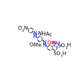 COc1cc(N=Nc2ccc([N+](=O)[O-])cc2)c(NC(C)=O)cc1N=Nc1ccc2c(S(=O)(=O)O)cc(S(=O)(=O)O)c(N)c2c1O